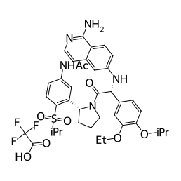 CCOc1cc([C@@H](Nc2ccc3c(N)nccc3c2)C(=O)N2CCC[C@@H]2c2cc(NC(C)=O)ccc2S(=O)(=O)C(C)C)ccc1OC(C)C.O=C(O)C(F)(F)F